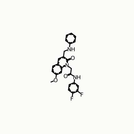 COc1ccc2cc(CNc3ccccc3)c(=O)n(CC(=O)Nc3ccc(F)c(F)c3)c2c1